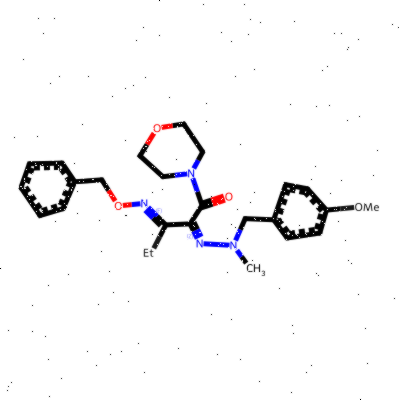 CCC(=N\OCc1ccccc1)/C(=N/N(C)Cc1ccc(OC)cc1)C(=O)N1CCOCC1